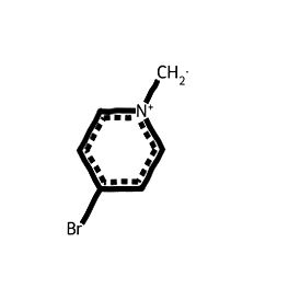 [CH2][n+]1ccc(Br)cc1